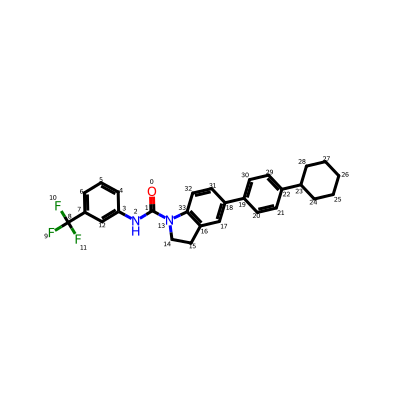 O=C(Nc1cccc(C(F)(F)F)c1)N1CCc2cc(-c3ccc(C4CCCCC4)cc3)ccc21